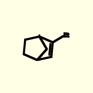 CCC1=CC2CC[C]1C2